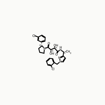 C[C@@H](NC(=O)[C@H](O)[C@@H](O)C(=O)N1CCC[C@@H]1c1cccc(Cl)c1)c1ccn(Cc2ccccc2Cl)n1